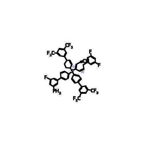 C#C/C=C(\C=C/Cc1cc(F)cc(F)c1)S(c1ccc(-c2cc(F)cc(P)c2)cc1)(c1ccc(-c2cc(C(F)(F)F)cc(C(F)(F)F)c2)cc1)C1C=CC(c2cc(C(F)(F)F)cc(C(F)(F)F)c2)CC1